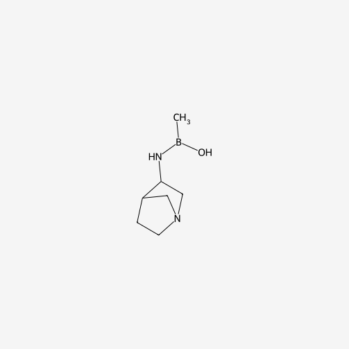 CB(O)NC1CN2CCC1C2